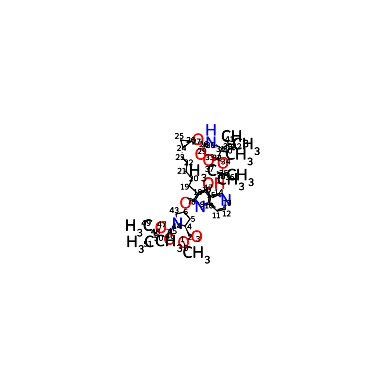 COC(=O)[C@@H]1CC(Oc2nc3ccncc3c(O)c2CCCCC[C@@H]2C[C@H]2OC(=O)N[C@H](C(=O)OC(C)(C)C)C(C)(C)C)CN1C(=O)OC(C)(C)C